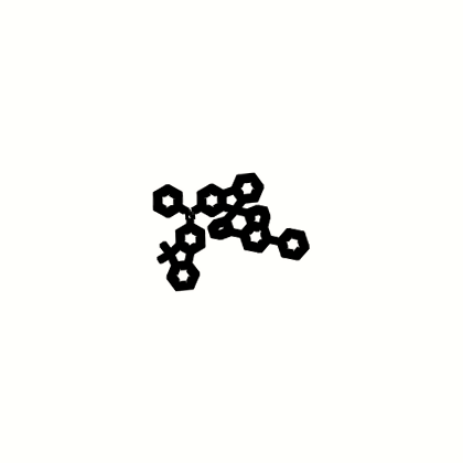 CC1(C)c2ccccc2-c2ccc(N(c3ccccc3)c3ccc4c(c3)C3(c5ccccc5-4)c4ccccc4-c4ccc(-c5ccccc5)c5cccc3c45)cc21